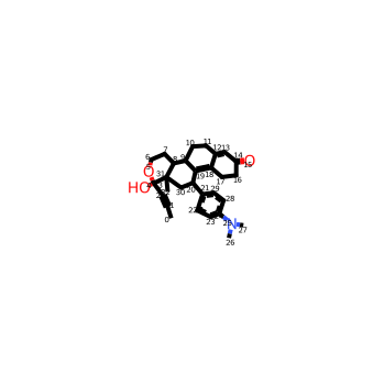 CC#CC1(O)OCCC2C3CCC4=CC(=O)CCC4=C3C(c3ccc(N(C)C)cc3)CC21C